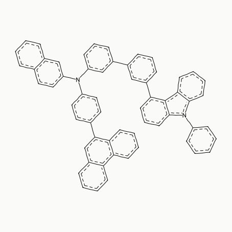 c1ccc(-n2c3ccccc3c3c(-c4cccc(-c5cccc(N(c6ccc(-c7cc8ccccc8c8ccccc78)cc6)c6ccc7ccccc7c6)c5)c4)cccc32)cc1